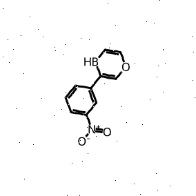 O=[N+]([O-])c1cccc(C2=COC=CB2)c1